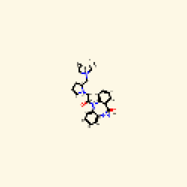 CCN(CC)CC1CCCN1CC(=O)N1c2ccccc2NC(=O)c2ccccc21